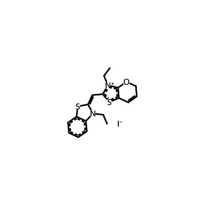 CCN1C(=Cc2sc3c([n+]2CC)OCC=C3)Sc2ccccc21.[I-]